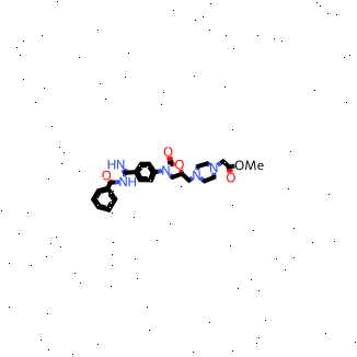 COC(=O)CN1CCN(CC2CN(c3ccc(C(=N)NC(=O)c4ccccc4)cc3)C(=O)O2)CC1